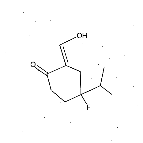 CC(C)C1(F)CCC(=O)C(=CO)C1